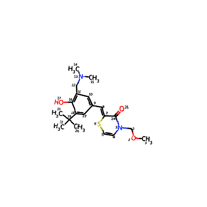 COCN1C=CSC(=Cc2cc(CN(C)C)c(O)c(C(C)(C)C)c2)C1=O